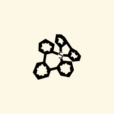 c1ccc2c(c1)-c1ccccc1S1(c3ccccc3-2)c2ccccc2-c2ccccc21